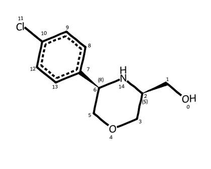 OC[C@H]1COC[C@@H](c2ccc(Cl)cc2)N1